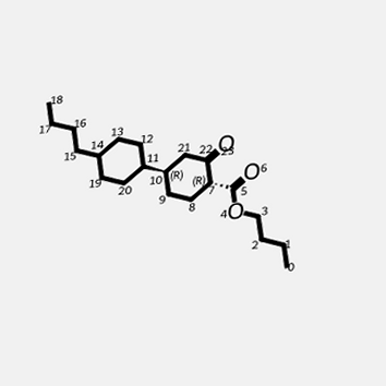 CCCCOC(=O)[C@@H]1CC[C@@H](C2CCC(CCCC)CC2)CC1=O